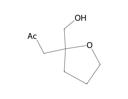 CC(=O)CC1(CO)CCCO1